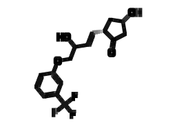 O=C1CC(O)C[C@H]1/C=C/C(O)COc1cccc(C(F)(F)F)c1